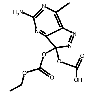 CCOC(=O)OC1(OC(=O)O)N=Nc2c(C)nc(N)nc21